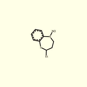 CCC1CCN(N=O)c2ccccc2S1